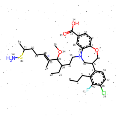 CCCc1c(C2COc3ccc(C(=O)O)cc3N(CCC(CC)C(OC)/C(C)=C/CCC(C)SN)C2)ccc(Cl)c1F